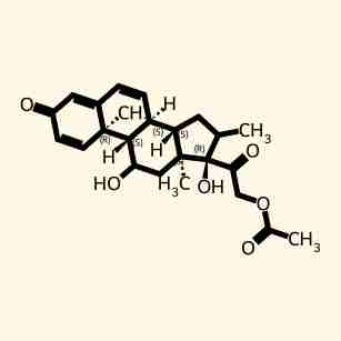 CC(=O)OCC(=O)[C@@]1(O)C(C)C[C@H]2[C@@H]3C=CC4=CC(=O)C=C[C@]4(C)[C@H]3C(O)C[C@@]21C